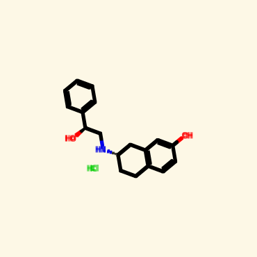 Cl.Oc1ccc2c(c1)C[C@@H](NC[C@@H](O)c1ccccc1)CC2